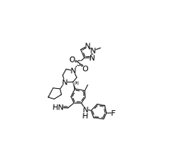 Cc1cc(Nc2ccc(F)cc2)c(C=N)cc1[C@@H]1CN(S(=O)(=O)c2cnn(C)n2)CCN1C1CCCC1